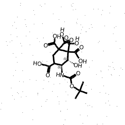 CC(C)(C)OC(=O)N[C@H]1C(C(=O)O)CC(C(=O)O)(C(=O)O)C(C(=O)O)(C(=O)O)[C@@H]1O